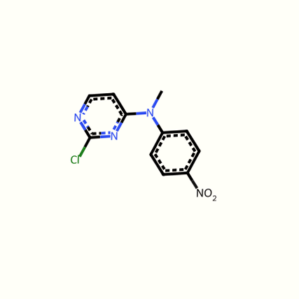 CN(c1ccc([N+](=O)[O-])cc1)c1ccnc(Cl)n1